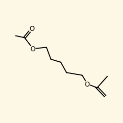 C=C(C)OCCCCCOC(C)=O